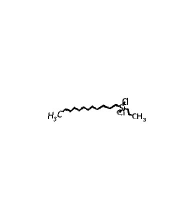 CCCCCCCCCCCC[Si](Cl)(Cl)CCC